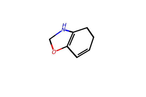 C1=CC2=C(CC1)NCO2